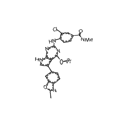 CNC(=O)c1ccc(Nc2nc(OC(C)C)c3c(-c4ccc5nc(C)oc5c4)c[nH]c3n2)c(Cl)c1